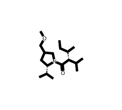 CCC(C)[C@@H](C(=O)N1CC(COC)C[C@H]1C(C)C)C(C)C